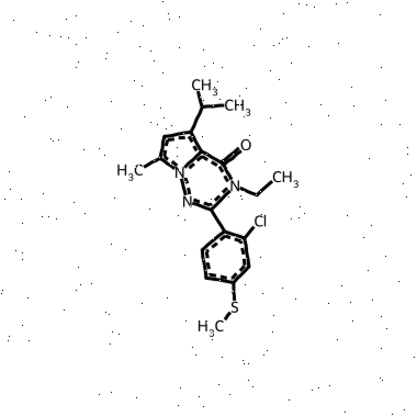 CCn1c(-c2ccc(SC)cc2Cl)nn2c(C)cc(C(C)C)c2c1=O